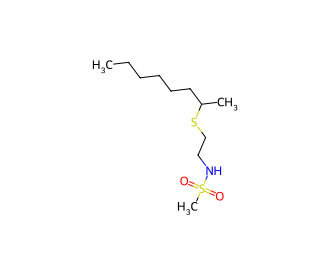 CCCCCCC(C)SCCNS(C)(=O)=O